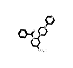 CCOC(=O)C1CCN(C(=O)c2ccccc2)C(N2CCN(c3ccncc3)CC2)C1